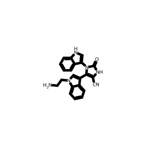 N#Cc1[nH]c(=O)n(-c2c[nH]c3ccccc23)c1-c1cn(CCN)c2ccccc12